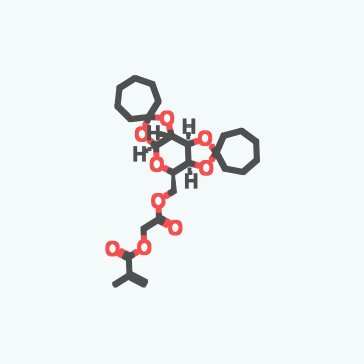 C=C(C)C(=O)OCC(=O)OC[C@H]1O[C@H]2OC3(CCCCCC3)O[C@@H]2[C@H]2OC3(CCCCCC3)O[C@H]21